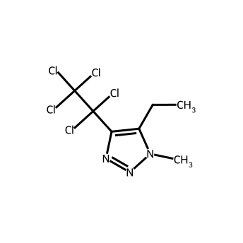 CCc1c(C(Cl)(Cl)C(Cl)(Cl)Cl)nnn1C